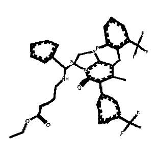 CCOC(=O)CCCNC(c1ccccc1)[C@H]1CSc2c(Cc3c(F)cccc3C(F)(F)F)c(C)c(-c3cccc(C(C)(F)F)c3)c(=O)n21